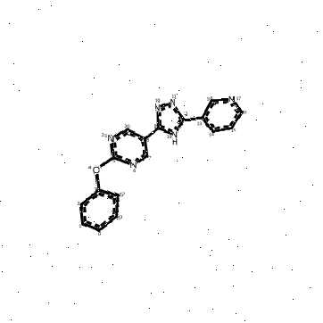 c1ccc(Oc2ncc(-c3nnc(-c4cccnc4)[nH]3)cn2)cc1